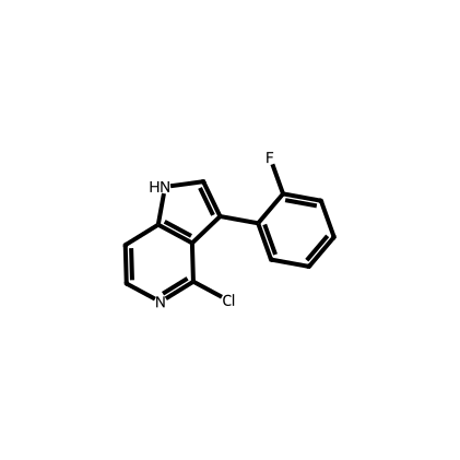 Fc1ccccc1-c1c[nH]c2ccnc(Cl)c12